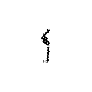 CC(C)CCC[C@@H](C)[C@H]1CC[C@H]2[C@@H]3CC=C4C[C@H](OCCCCCCCCCCO)CC[C@]4(C)[C@H]3CC[C@]12C